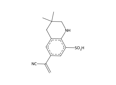 C=C(C#N)c1cc2c(c(S(=O)(=O)O)c1)NCC(C)(C)C2